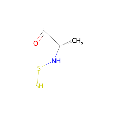 C[C@@H]([C]=O)NSS